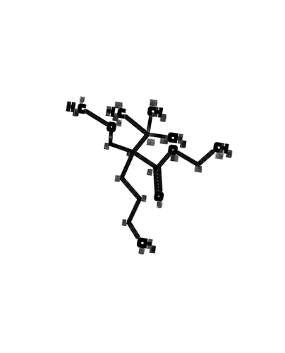 CCCCC(COC)(C(=O)OCC)C(C)(C)C